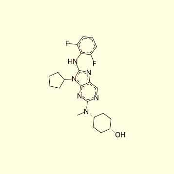 CN(c1ncc2nc(Nc3c(F)cccc3F)n(C3CCCC3)c2n1)[C@H]1CC[C@@H](O)CC1